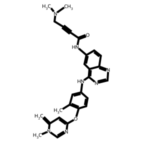 C=C1C=C(Oc2ccc(Nc3ncnc4ccc(NC(=O)C#CCN(C)C)cc34)cc2C)N=CN1C